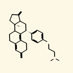 CN(C)CCOc1ccc([C@@H]2C[C@]3(C)C(=O)CC[C@H]3[C@@H]3CCC4=CC(=O)CCC4=C23)cc1